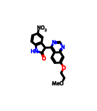 COCCOc1ccc2c(C3C(=O)Nc4ccc([N+](=O)[O-])cc43)ncnc2c1